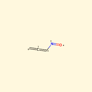 C=C=CN=O